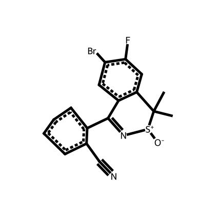 CC1(C)c2cc(F)c(Br)cc2C(c2ccccc2C#N)=N[S+]1[O-]